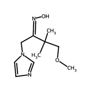 COCC(C)(C)/C(Cn1ccnc1)=N\O